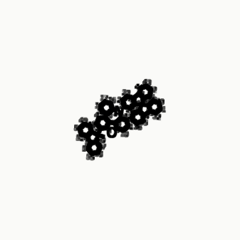 CC1(c2cccc3c2oc2cccc(N(c4ccccc4)c4ccc5c(c4)C4(c6ccccc6-c6ccccc64)c4ccccc4-5)c23)c2ccccc2-c2ccccc21